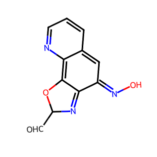 O=CC1N=C2C(=NO)C=c3cccnc3=C2O1